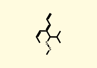 C=C/C=C(\C=C/C)C(SSC)C(C)C